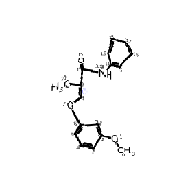 COc1cccc(O/C=C(\C)C(=O)Nc2ccccc2)c1